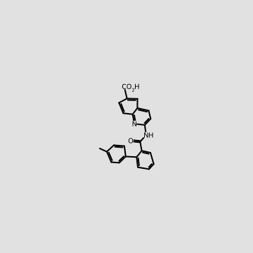 Cc1ccc(-c2ccccc2C(=O)Nc2ccc3cc(C(=O)O)ccc3n2)cc1